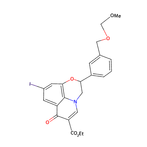 CCOC(=O)c1cn2c3c(cc(I)cc3c1=O)OC(c1cccc(COCOC)c1)C2